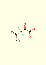 O=C(OF)C(=O)C(F)(F)C(=O)C(F)(F)F